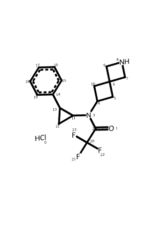 Cl.O=C(N(C1CC2(CNC2)C1)C1CC1c1ccccc1)C(F)(F)F